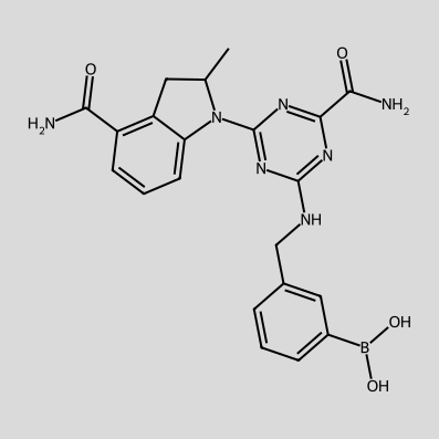 CC1Cc2c(C(N)=O)cccc2N1c1nc(NCc2cccc(B(O)O)c2)nc(C(N)=O)n1